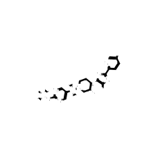 C[C@H]1CN(S(=O)(=O)c2cnc(NS(C)(=O)=O)nc2)CC[C@H]1c1[nH]c(-c2ccc(F)cn2)nc1Cl